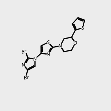 Brc1cn(-c2csc(N3CCOC(c4cccs4)C3)n2)c(Br)n1